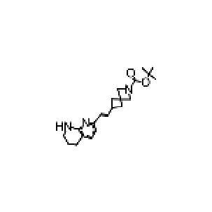 CC(C)(C)OC(=O)N1CC2(CC(C=Cc3ccc4c(n3)NCCC4)C2)C1